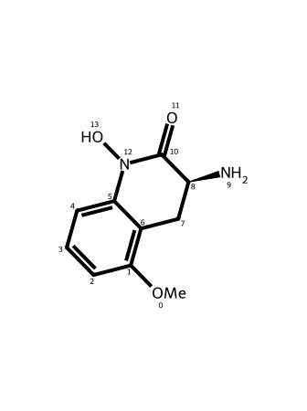 COc1cccc2c1C[C@H](N)C(=O)N2O